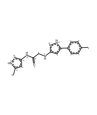 Cc1ccc(-c2cc(NCC(=O)Nc3cc(C)[nH]n3)n[nH]2)cc1